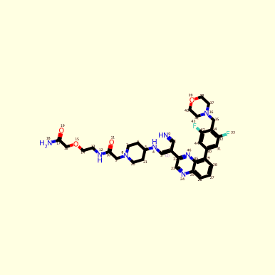 N=C/C(=C\NC1CCN(CC(=O)NCCOCC(N)=O)CC1)c1cnc2cccc(-c3cc(F)c(CN4CCOCC4)c(F)c3)c2n1